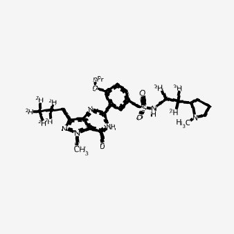 [2H]C(NS(=O)(=O)c1ccc(OCCC)c(-c2nc3c(CC([2H])([2H])C([2H])([2H])[2H])nn(C)c3c(=O)[nH]2)c1)C([2H])([2H])C1CCCN1C